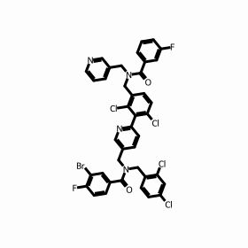 O=C(c1ccc(F)c(Br)c1)N(Cc1ccc(-c2c(Cl)ccc(CN(Cc3cccnc3)C(=O)c3cccc(F)c3)c2Cl)nc1)Cc1ccc(Cl)cc1Cl